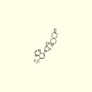 C[C@@H]1CN(c2ccc(C(F)(F)F)c3nccnc23)C[C@H]1CN1CCC2(CCNCC2)CC1